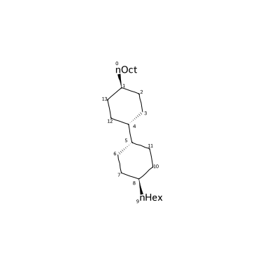 CCCCCCCC[C@H]1CC[C@H]([C@H]2CC[C@H](CCCCCC)CC2)CC1